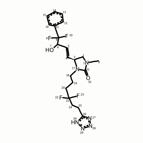 CN1C[C@H](C=CC(O)C(F)(F)c2ccccc2)N(CCCC(F)(F)CCc2nnn[nH]2)C1=O